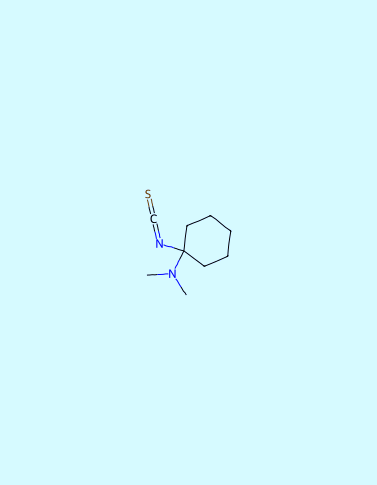 CN(C)C1(N=C=S)CCCCC1